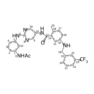 CC(=O)Nc1cccc(Nc2ncc(NC(=O)c3cc(NCc4cccc(C(F)(F)F)c4)ccc3C)cn2)c1